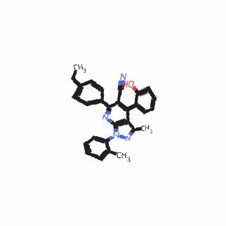 CCc1ccc(-c2nc3c(c(C)nn3-c3ccccc3C)c(-c3ccccc3O)c2C#N)cc1